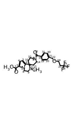 CC(=O)c1ccc2n1CCN(C)C21CCN(C(=O)c2ccc(COCCC(F)(F)F)cc2)CC1